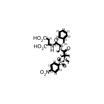 CN(C(=O)C(C)(C)N(C)S(=O)(=O)c1ccc([N+](=O)[O-])cc1)[C@@H](Cc1ccccc1)C(=O)N[C@@H](CC(=O)O)C(=O)O